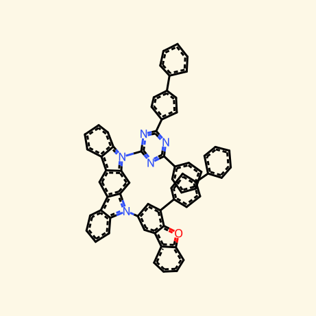 c1ccc(-c2ccc(-c3nc(-c4ccccc4)nc(-n4c5ccccc5c5cc6c7ccccc7n(-c7cc(-c8ccc(-c9ccccc9)cc8)c8oc9ccccc9c8c7)c6cc54)n3)cc2)cc1